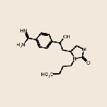 N=C(N)c1ccc(C(O)CC2CNC(=O)N2CCCC(=O)O)cc1